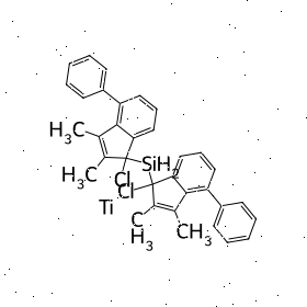 CC1=C(C)C(Cl)([SiH2]C2(Cl)C(C)=C(C)c3c(-c4ccccc4)cccc32)c2cccc(-c3ccccc3)c21.[Ti]